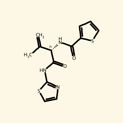 C=C(C)[C@H](NC(=O)c1cccs1)C(=O)Nc1nccs1